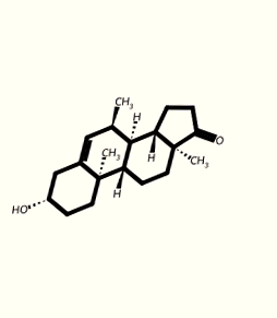 C[C@@H]1C=C2C[C@@H](O)CC[C@]2(C)[C@H]2CC[C@]3(C)C(=O)CC[C@H]3[C@H]12